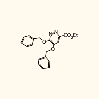 CCOC(=O)c1cc(OCc2ccccc2)c(OCc2ccccc2)nn1